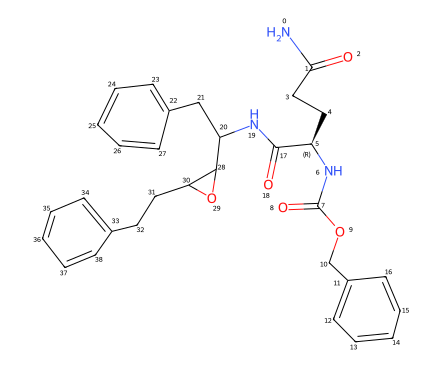 NC(=O)CC[C@@H](NC(=O)OCc1ccccc1)C(=O)NC(Cc1ccccc1)C1OC1CCc1ccccc1